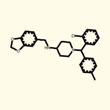 Cc1ccc(C(c2ccccc2Cl)N2CCC(NCc3ccc4c(c3)OCO4)CC2)cc1